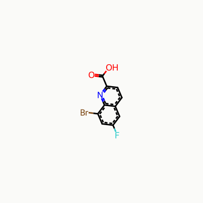 O=C(O)c1ccc2cc(F)cc(Br)c2n1